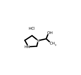 CC(O)N1CCNC1.Cl